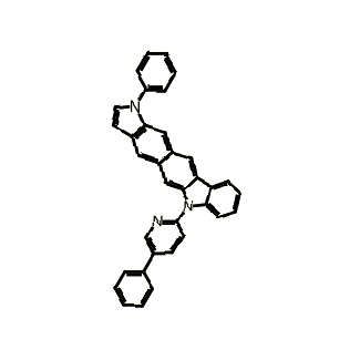 c1ccc(-c2ccc(-n3c4ccccc4c4cc5cc6c(ccn6-c6ccccc6)cc5cc43)nc2)cc1